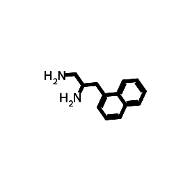 NCC(N)Cc1cccc2ccccc12